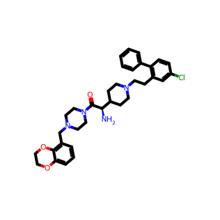 N[C@@H](C(=O)N1CCN(Cc2cccc3c2OCCO3)CC1)C1CCN(CCc2cc(Cl)ccc2-c2ccccc2)CC1